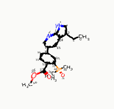 CCc1c[nH]c2ncc(-c3ccc(C(=O)OC)c(P(C)(C)=O)c3)cc12